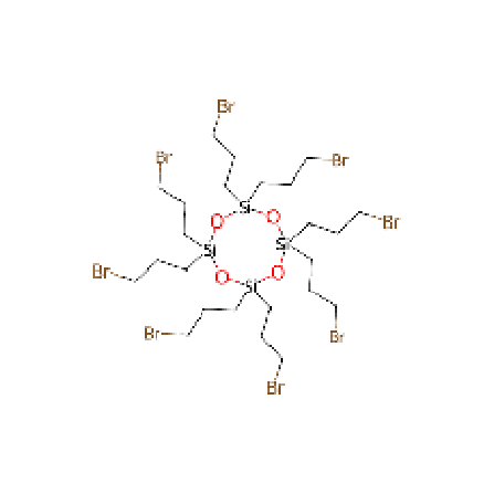 BrCCC[Si]1(CCCBr)O[Si](CCCBr)(CCCBr)O[Si](CCCBr)(CCCBr)O[Si](CCCBr)(CCCBr)O1